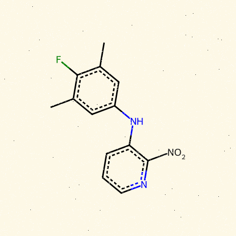 Cc1cc(Nc2cccnc2[N+](=O)[O-])cc(C)c1F